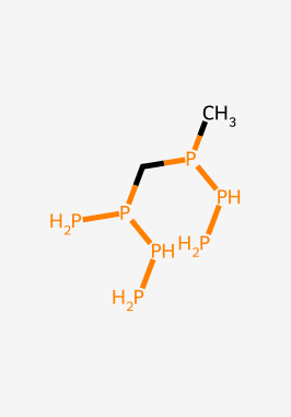 CP(CP(P)PP)PP